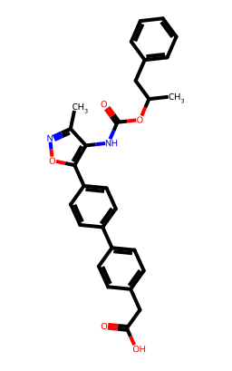 Cc1noc(-c2ccc(-c3ccc(CC(=O)O)cc3)cc2)c1NC(=O)OC(C)Cc1ccccc1